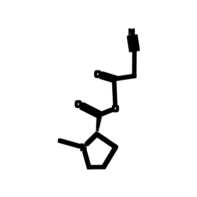 CN1CCC[C@H]1C(=O)OC(=O)CC#N